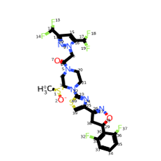 C[S+]([O-])C1CN(C(=O)Cn2nc(C(F)F)cc2C(F)F)CCN1c1nc(C2=NOC(c3c(F)cccc3F)C2)cs1